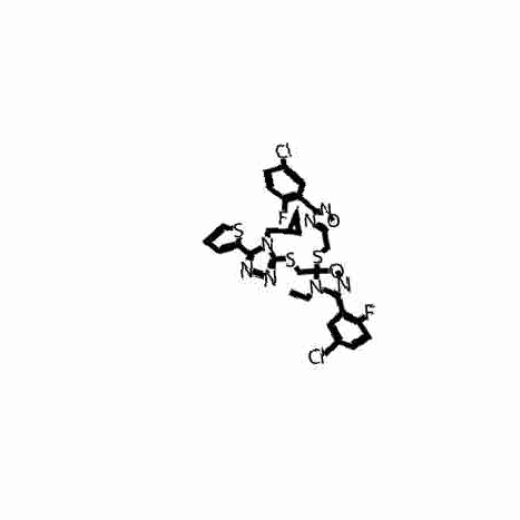 CCN1C(c2cc(Cl)ccc2F)=NOC1(CSc1nnc(-c2cccs2)n1CC1CC1)SCc1nc(-c2cc(Cl)ccc2F)no1